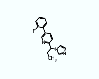 CCC(c1ccc(-c2ccccc2F)cn1)n1ccnc1